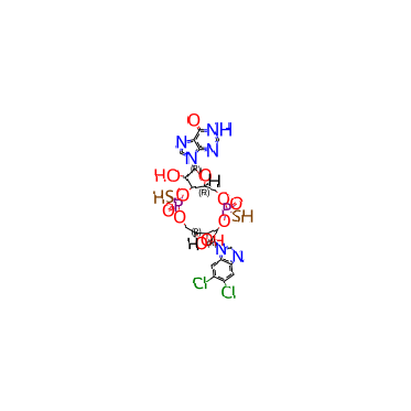 O=c1[nH]cnc2c1ncn2[C@@H]1O[C@@H]2COP(=O)(S)OC3C(O)[C@@H](COP(=O)(S)OC2C1O)O[C@H]3n1cnc2cc(Cl)c(Cl)cc21